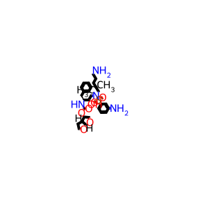 CC(C)(CCCN)CN(C[C@@H](O)[C@H](Cc1ccccc1)NC(=O)O[C@H]1CO[C@H]2OCC[C@H]21)S(=O)(=O)c1cccc(N)c1